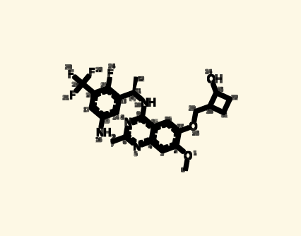 COc1cc2nc(C)nc(N[C@H](C)c3cc(N)cc(C(F)(F)F)c3F)c2cc1OCC1CCC1O